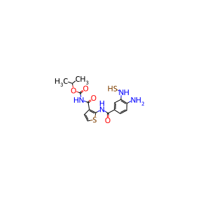 CC(C)OC(=O)NC(=O)c1ccsc1NC(=O)c1ccc(N)c(NS)c1